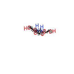 Cc1c(NC(=O)OCC#CCO)cccc1NC(=O)OCC#CCO